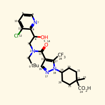 CC(C)(C)CN(CC(O)c1ncccc1Cl)C(=O)c1cnn(C2CCC(C)(C(=O)O)CC2)c1C(F)(F)F